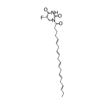 CC/C=C/C/C=C/C/C=C/C/C=C/C/C=C/CCCC(=O)n1cc(F)c(=O)[nH]c1=O